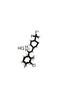 Cl.NC(CC1CCC(C(F)(F)F)CC1)c1ccc(F)c(Cl)c1F